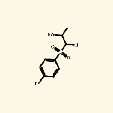 CC(O)C(Cl)S(=O)(=O)c1ccc(Br)cc1